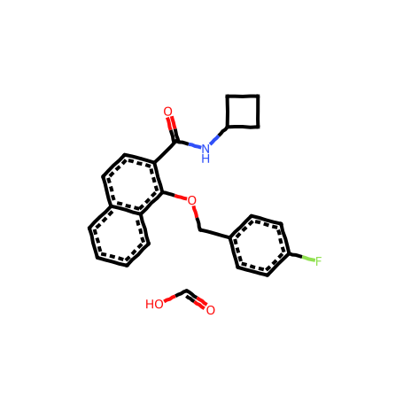 O=C(NC1CCC1)c1ccc2ccccc2c1OCc1ccc(F)cc1.O=CO